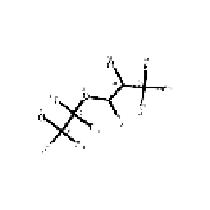 FC(OC(F)(F)C(F)(F)Cl)C(Cl)C(F)(F)Cl